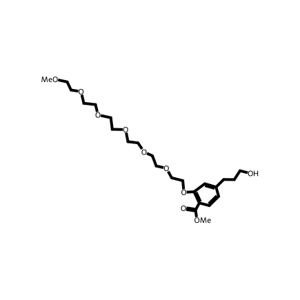 COCCOCCOCCOCCOCCOCCOc1cc(CCCO)ccc1C(=O)OC